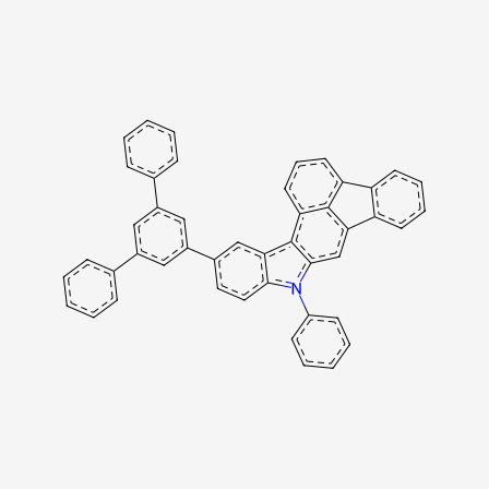 c1ccc(-c2cc(-c3ccccc3)cc(-c3ccc4c(c3)c3c5cccc6c5c(cc3n4-c3ccccc3)-c3ccccc3-6)c2)cc1